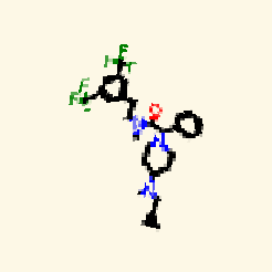 CN(CCc1cc(C(F)(F)F)cc(C(F)(F)F)c1)C(=O)C(c1ccccc1)N1CCC(N(C)CC2CC2)CC1